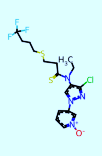 CCN(C(=S)CCSCCCC(F)(F)F)c1cn(-c2ccc[n+]([O-])c2)nc1Cl